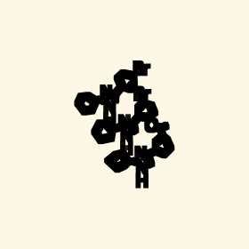 Brc1ccc(-c2c[nH]c(-c3ccccc3)n2)cc1.Brc1cccc(-c2c[nH]c(-c3ccccc3)n2)c1.CC(=O)c1cccc(-c2c[nH]c(-c3ccccc3)n2)c1